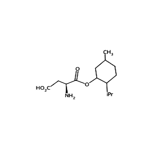 CC1CCC(C(C)C)C(OC(=O)[C@@H](N)CC(=O)O)C1